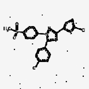 CS(=O)(=O)c1ccc(-n2nc(-c3ccc(Cl)s3)cc2-c2ccc(Cl)cc2)cc1